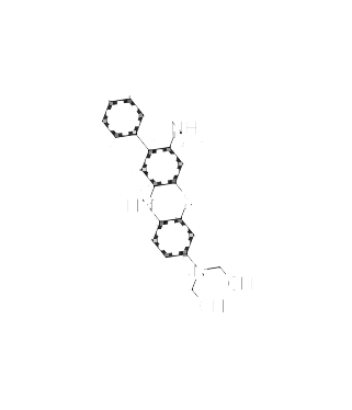 CCN(CC)c1ccc2c(c1)Sc1cc(N)c(-c3ccccc3)cc1N2